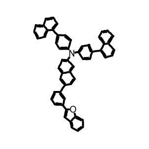 c1cc(-c2ccc3cc(N(c4ccc(-c5cccc6ccccc56)cc4)c4ccc(-c5cccc6ccccc56)cc4)ccc3c2)cc(-c2cc3ccccc3o2)c1